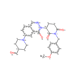 COc1ccc(CN2C(=O)CCC(n3ncc4ccc(N5CCC(C=O)CC5)cc4c3=O)C2=O)cc1